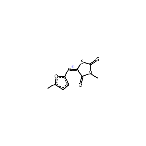 Cc1ccc(/C=C2/SC(=S)N(C)C2=O)o1